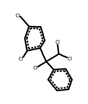 Clc1ccc(C(Cl)(c2ccccc2)C(Cl)Cl)c(Cl)c1